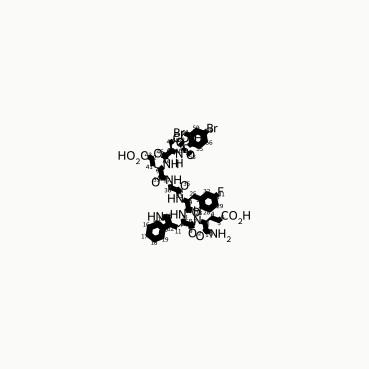 NC(=O)[C@H](CCC(=O)O)NC(=O)[C@H](Cc1c[nH]c2ccccc12)NC(=O)[C@H](Cc1cccc(F)c1)NC(=O)CNC(=O)[C@H](CCC(=O)O)NC(=O)[C@@H](CC(=O)O)NS(=O)(=O)c1ccc(Br)cc1Br